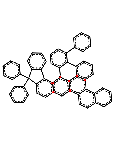 c1ccc(-c2ccccc2-c2c(-c3ccccc3)cccc2N(c2ccc3c(ccc4ccccc43)c2)c2cccc3c2-c2ccccc2C3(c2ccccc2)c2ccccc2)cc1